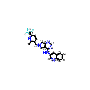 Cc1nc(C(F)(F)F)ccc1CN1Cc2ncnc(Nc3cnc4ccccc4c3)c2C1